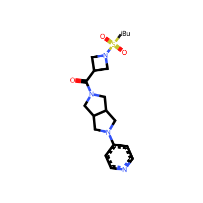 CCC(C)S(=O)(=O)N1CC(C(=O)N2CC3CN(c4ccncc4)CC3C2)C1